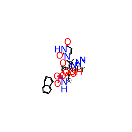 CCCOC(=O)[C@H](C)NP(=O)(OC[C@H]1OC(n2ccc(=O)[nH]c2=O)[C@](C)(N=[N+]=[N-])[C@@H]1O)Oc1cccc2ccccc12